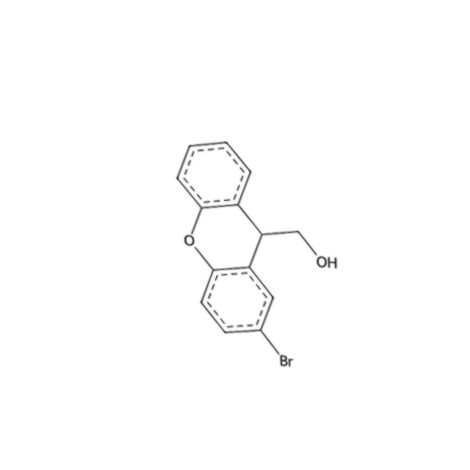 OCC1c2ccccc2Oc2ccc(Br)cc21